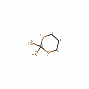 SC1(S)SCCCS1